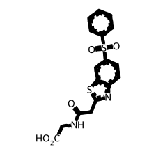 O=C(O)CNC(=O)Cc1nc2ccc(S(=O)(=O)c3ccccc3)cc2s1